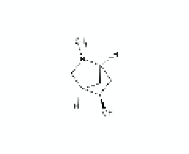 CN1C[C@H]2C[C@@H]1C[C@H]2O